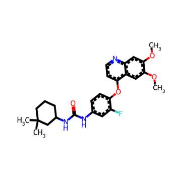 COc1cc2nccc(Oc3ccc(NC(=O)NC4CCCC(C)(C)C4)cc3F)c2cc1OC